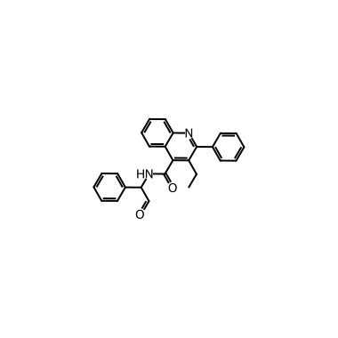 CCc1c(-c2ccccc2)nc2ccccc2c1C(=O)NC(C=O)c1ccccc1